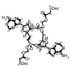 CCCCCCCCCCCC(=O)OCOP1(=O)/C=C/[C@H]2O[C@@H](n3cnc4c(N)ncnc43)[C@H](F)[C@@H]2OP(=O)(OCOC(=O)CCCCCCCCCCC)OC[C@H]2O[C@@H](n3cnc4c(N)ncnc43)[C@H](F)[C@@H]2O1